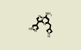 Nc1cc(CC2CNC2)nc2c(-c3cn[nH]c3)cnn12